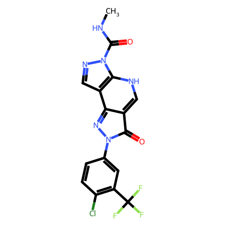 CNC(=O)n1ncc2c3nn(-c4ccc(Cl)c(C(F)(F)F)c4)c(=O)c-3c[nH]c21